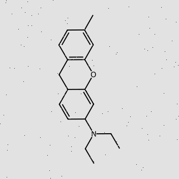 CCN(CC)C1C=CC2Cc3ccc(C)cc3OC2=C1